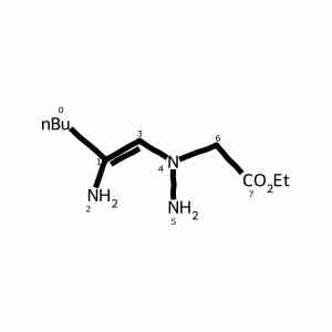 CCCC/C(N)=C/N(N)CC(=O)OCC